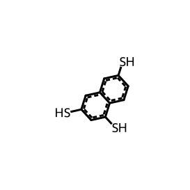 Sc1ccc2c(S)cc(S)cc2c1